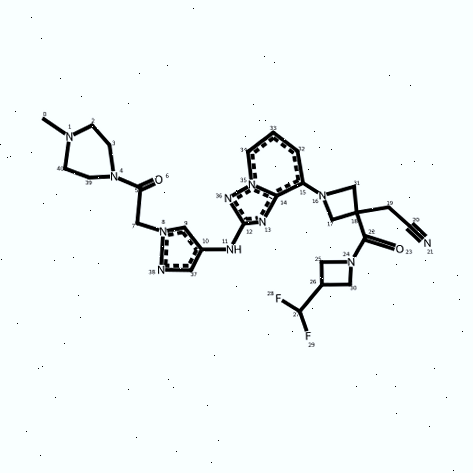 CN1CCN(C(=O)Cn2cc(Nc3nc4c(N5CC(CC#N)(C(=O)N6CC(C(F)F)C6)C5)cccn4n3)cn2)CC1